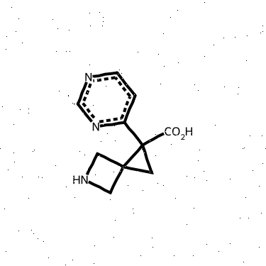 O=C(O)C1(c2ccn[c]n2)CC12CNC2